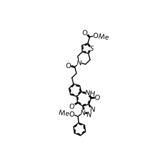 COC(=O)c1cc2c(s1)CCN(C(=O)CCc1ccc3c(=O)c4c(nnn4C(OC)c4ccccc4)c(=O)[nH]c3c1)C2